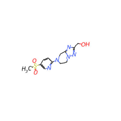 CS(=O)(=O)c1ccc(N2CCn3nc(CO)nc3C2)nc1